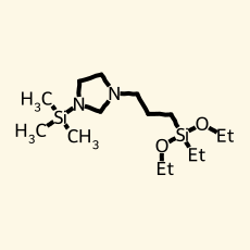 CCO[Si](CC)(CCCN1CCN([Si](C)(C)C)C1)OCC